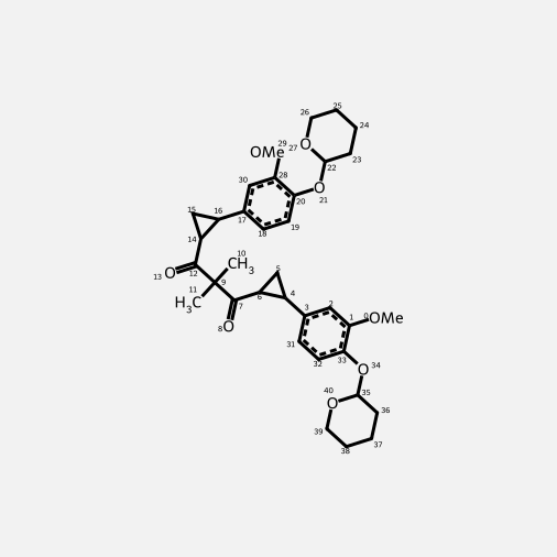 COc1cc(C2CC2C(=O)C(C)(C)C(=O)C2CC2c2ccc(OC3CCCCO3)c(OC)c2)ccc1OC1CCCCO1